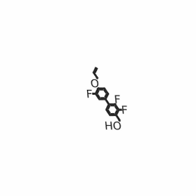 C=CCOc1ccc(-c2ccc(CO)c(F)c2F)cc1F